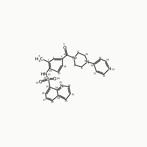 Cc1cc(C(=O)N2CCN(c3ccncc3)CC2)ccc1NS(=O)(=O)c1cccc2cccnc12